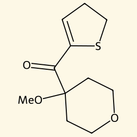 COC1(C(=O)C2=CCCS2)CCOCC1